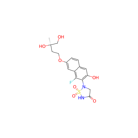 C[C@](O)(CO)CCOc1ccc2cc(O)c(N3CC(=O)NS3(=O)=O)c(F)c2c1